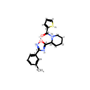 Cc1cccc(-c2noc(C3CCCCN3C(=O)c3cccs3)n2)c1